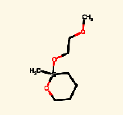 COCCO[Si]1(C)CCCCO1